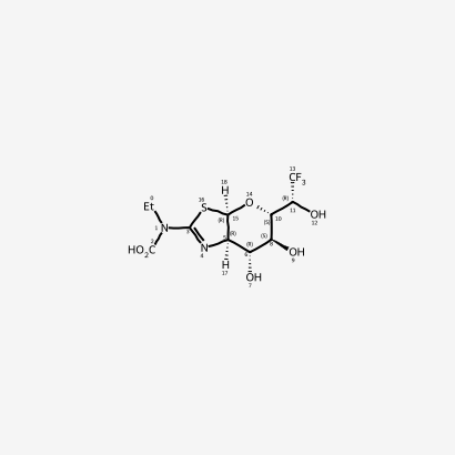 CCN(C(=O)O)C1=N[C@@H]2[C@@H](O)[C@H](O)[C@@H]([C@@H](O)C(F)(F)F)O[C@@H]2S1